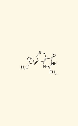 Cc1nc2c(c(=O)[nH]1)CSCC2=CC(C)C